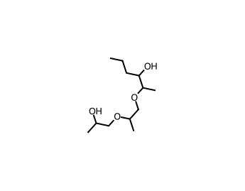 CCCC(O)C(C)OCC(C)OCC(C)O